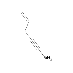 C=CCC#C[SiH3]